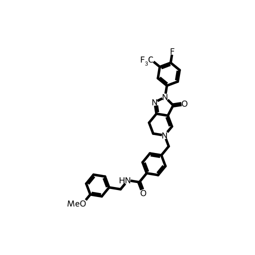 COc1cccc(CNC(=O)c2ccc(CN3C=C4C(=O)N(c5ccc(F)c(C(F)(F)F)c5)N=C4CC3)cc2)c1